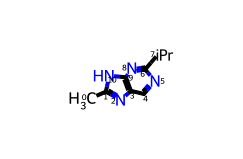 Cc1nc2cnc(C(C)C)nc2[nH]1